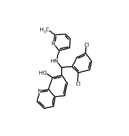 Cc1cccc(NC(c2cc(Cl)ccc2Cl)c2ccc3cccnc3c2O)n1